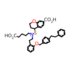 O=C(O)CCCCN(CCc1ccccc1OCc1ccc(CCc2ccccc2)cc1)SC1CCOc2cc(C(=O)O)ccc21